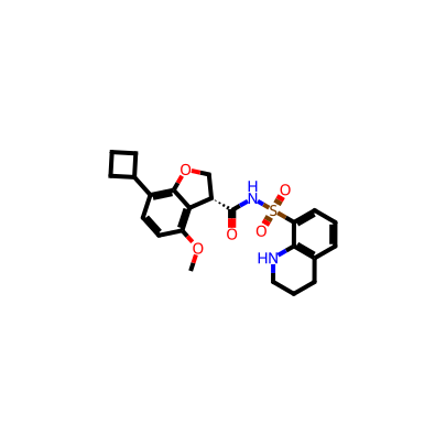 COc1ccc(C2CCC2)c2c1[C@@H](C(=O)NS(=O)(=O)c1cccc3c1NCCC3)CO2